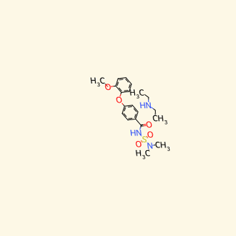 CCNCC.COc1ccccc1Oc1ccc(C(=O)NS(=O)(=O)N(C)C)cc1